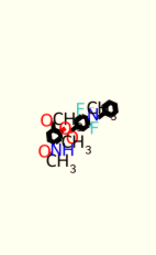 CC(=O)Nc1ccc(C(C)=O)c(OC(=O)c2cc(F)c(N(C)Cc3ccccc3)c(F)c2)c1C